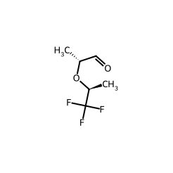 C[C@H](C=O)O[C@@H](C)C(F)(F)F